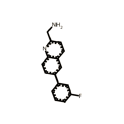 NCc1ccc2cc(-c3cccc(F)c3)ccc2n1